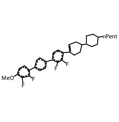 CCCCCC1CCC(C2CC=C(c3ccc(-c4ccc(-c5ccc(OC)c(F)c5F)cc4)c(F)c3F)CC2)CC1